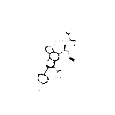 C=CC/C(=C\C(=C/C)C(=O)NC(C)(C)C)c1cc2c(C(=O)NC)c(-c3ccc(F)cc3)oc2c2ccn(SC)c12